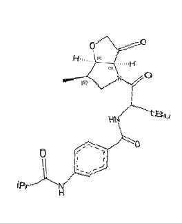 CC(C)C(=O)Nc1ccc(C(=O)NC(C(=O)N2C[C@@H](C)[C@H]3OCC(=O)[C@H]32)C(C)(C)C)cc1